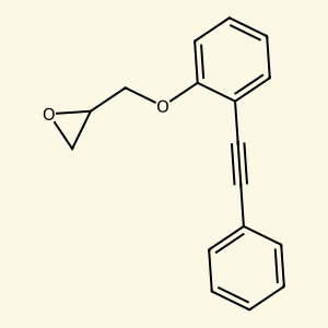 C(#Cc1ccccc1OCC1CO1)c1ccccc1